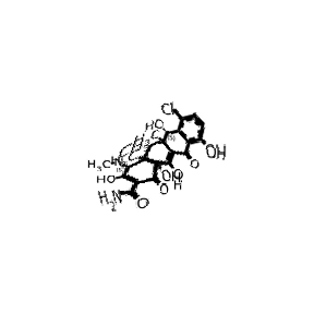 CN(C)[C@@H]1C(O)=C(C(N)=O)C(=O)[C@@]2(O)C(O)=C3C(=O)c4c(O)ccc(Cl)c4[C@@H](O)[C@@]3(C)C[C@@]12C